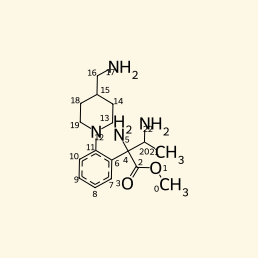 COC(=O)C(N)(c1ccccc1N1CCC(CN)CC1)C(C)N